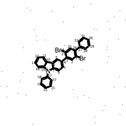 Brc1cc(-c2ccc3c(c2)c2ccccc2n3-c2ccccc2)c(Br)cc1-c1ccccc1